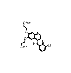 CCC1=CC=CC(Nc2ccnc3cc(OCCOC)c(OCCOC)cc23)C1=O